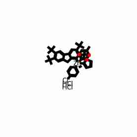 Cl.Cl.[CH2]=[Zr]([C]1=CC=CC1)([c]1ccc(C)cc1)([c]1ccc(Cl)cc1)[c]1c2c(cc(C(C)(C)C)c1C(C)(C)C)-c1cc(C(C)(C)C)c(C(C)(C)C)cc1C2